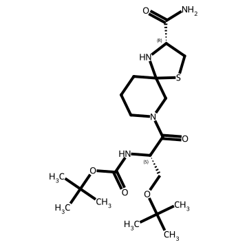 CC(C)(C)OC[C@H](NC(=O)OC(C)(C)C)C(=O)N1CCCC2(C1)N[C@H](C(N)=O)CS2